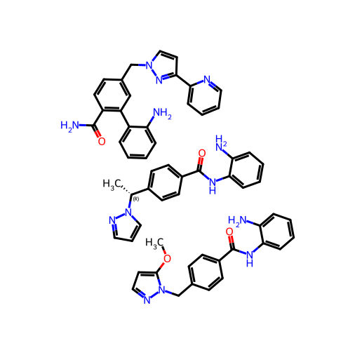 COc1ccnn1Cc1ccc(C(=O)Nc2ccccc2N)cc1.C[C@H](c1ccc(C(=O)Nc2ccccc2N)cc1)n1cccn1.NC(=O)c1ccc(Cn2ccc(-c3ccccn3)n2)cc1-c1ccccc1N